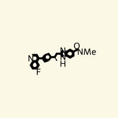 CNC(=O)c1ccc2[nH]c(C[C@@H](C)C3CC4CC3CC4c3ccnc4ccc(F)cc34)nc2c1